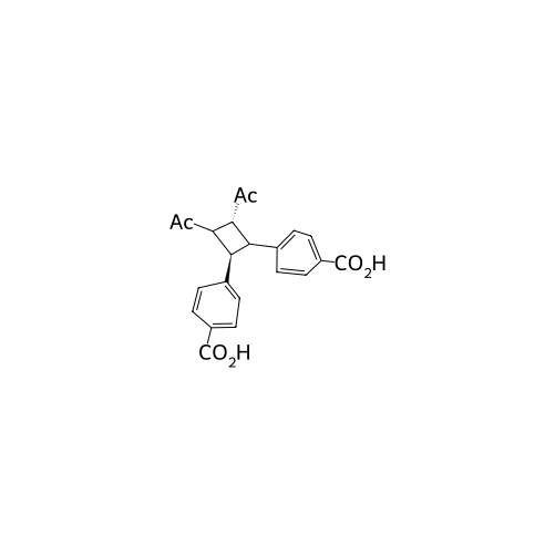 CC(=O)C1[C@H](C(C)=O)C(c2ccc(C(=O)O)cc2)[C@H]1c1ccc(C(=O)O)cc1